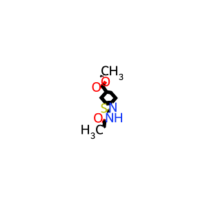 CCOC(=O)C1CCc2nc(NC(=O)CC)sc2C1